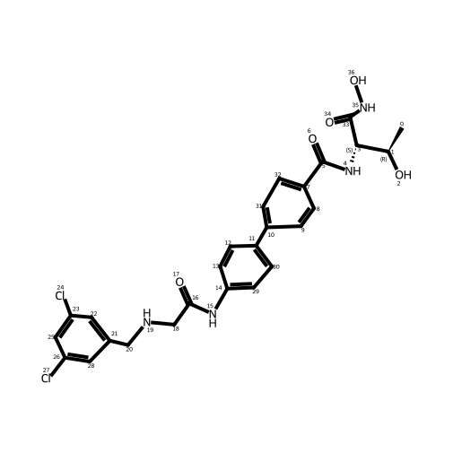 C[C@@H](O)[C@H](NC(=O)c1ccc(-c2ccc(NC(=O)CNCc3cc(Cl)cc(Cl)c3)cc2)cc1)C(=O)NO